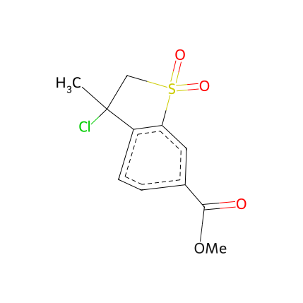 COC(=O)c1ccc2c(c1)S(=O)(=O)CC2(C)Cl